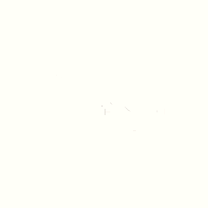 C[C@H](CCCC(C)(C)O)[C@H]1CC[C@H]2/C(=C/C=C3/C[C@@H](O)C[C@H](F)C3)CCC[C@]12C